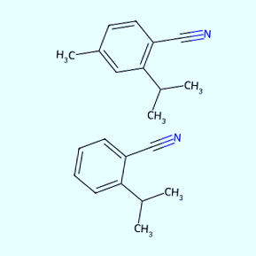 CC(C)c1ccccc1C#N.Cc1ccc(C#N)c(C(C)C)c1